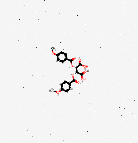 COc1ccc(C(=O)O[C@H](C(=O)O)[C@@H](OC(=O)c2ccc(OC)cc2)C(=O)O)cc1